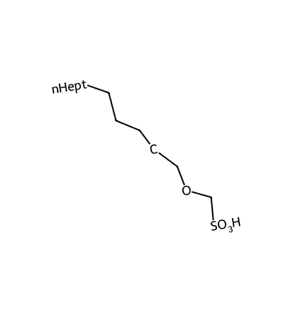 CCCCCCCCCCCCOCS(=O)(=O)O